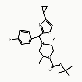 C[C@@H]1CN(C(=O)OC(C)(C)C)[C@@H](C)CN1C(c1ccc(F)cc1)c1nc(C2CC2)co1